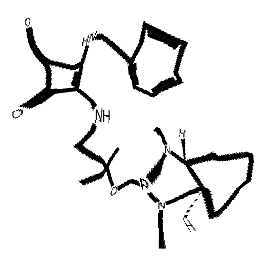 CN1[C@@H]2CCCC[C@H]2N(C)P1OC(C)(C)CNc1c(Nc2ccccc2)c(=O)c1=O